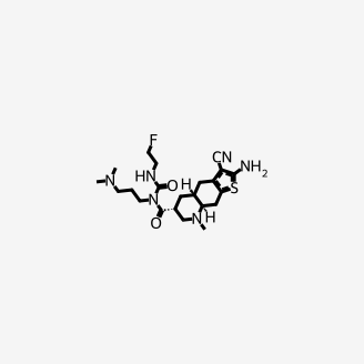 CN(C)CCCN(C(=O)NCCF)C(=O)[C@@H]1C[C@@H]2Cc3c(sc(N)c3C#N)C[C@H]2N(C)C1